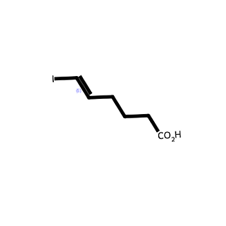 O=C(O)CCC/C=C/I